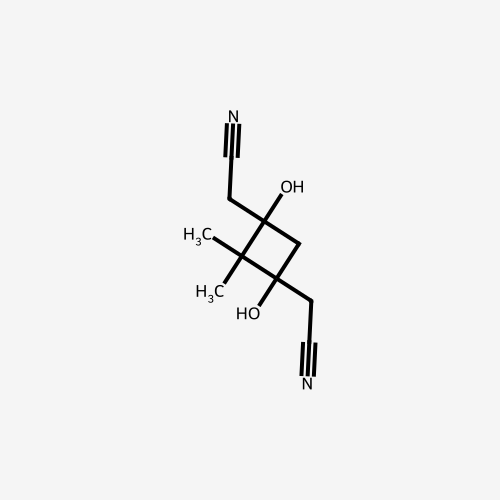 CC1(C)C(O)(CC#N)CC1(O)CC#N